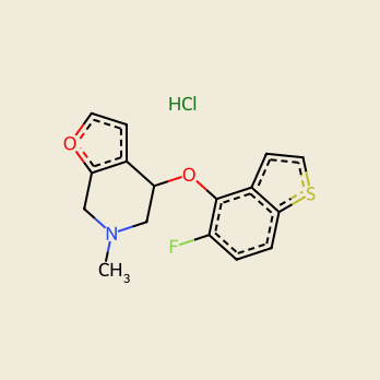 CN1Cc2occc2C(Oc2c(F)ccc3sccc23)C1.Cl